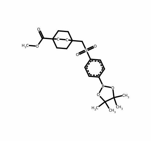 COC(=O)C12CCC(CS(=O)(=O)c3ccc(B4OC(C)(C)C(C)(C)O4)cc3)(CC1)CC2